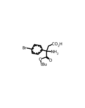 CC(C)(C)OC(=O)C(N)(CC(=O)O)c1ccc(Br)cc1